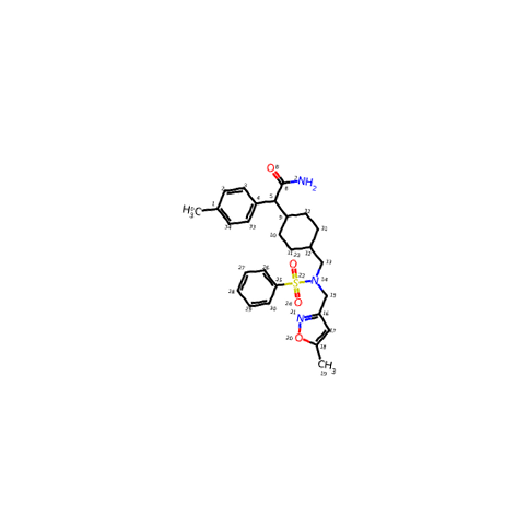 Cc1ccc(C(C(N)=O)C2CCC(CN(Cc3cc(C)on3)S(=O)(=O)c3ccccc3)CC2)cc1